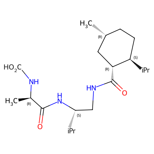 CC(C)[C@@H](CNC(=O)[C@@H]1C[C@H](C)CC[C@H]1C(C)C)NC(=O)[C@@H](C)NC(=O)O